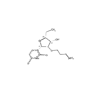 CC[C@H]1O[C@@H](n2ccc(=O)[nH]c2=O)C(OCCCN)[C@H]1O